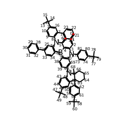 Cc1cc2c3c(c1)N(c1ccc(C(C)(C)C)cc1-c1ccccc1)c1cc(-c4ccccc4)ccc1B3c1ccc(N3c4ccc(C(C)(C)C)cc4C4(c5ccc(C(C)(C)C)cc5)CCCCC34C)cc1N2c1ccc(C(C)(C)C)cc1